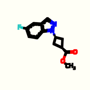 COC(=O)[C@H]1C[C@H](n2ncc3cc(F)ccc32)C1